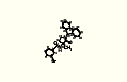 CC1(NC(=O)c2cccc(Br)c2)CCN(C2c3ccccc3-c3ccccc32)C1=O